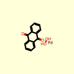 O=C1c2ccccc2C(=O)c2ccccc21.OO.[Pd]